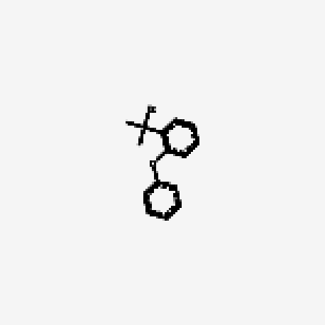 CCC(C)(C)c1ccccc1Oc1ccccc1